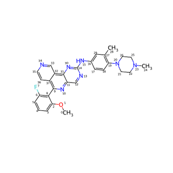 COc1cccc(F)c1-c1nc2cnc(Nc3ccc(N4CCN(C)CC4)c(C)c3)nc2c2cnccc12